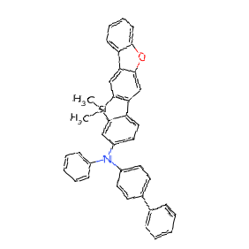 C[Si]1(C)c2cc(N(c3ccccc3)c3ccc(-c4ccccc4)cc3)ccc2-c2cc3oc4ccccc4c3cc21